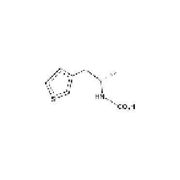 C[C@@H](Cc1ccsc1)NC(=O)O